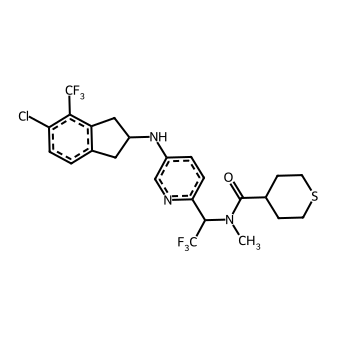 CN(C(=O)C1CCSCC1)C(c1ccc(NC2Cc3ccc(Cl)c(C(F)(F)F)c3C2)cn1)C(F)(F)F